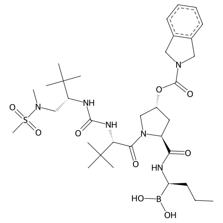 CCC[C@H](NC(=O)[C@@H]1C[C@@H](OC(=O)N2Cc3ccccc3C2)CN1C(=O)[C@@H](NC(=O)N[C@H](CN(C)S(C)(=O)=O)C(C)(C)C)C(C)(C)C)B(O)O